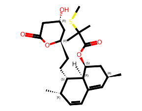 CSC(C)(C)C(=O)O[C@H]1C[C@@H](C)C=C2C=C[C@H](C)[C@H](CC[C@@H]3C[C@@H](O)CC(=O)O3)[C@H]21